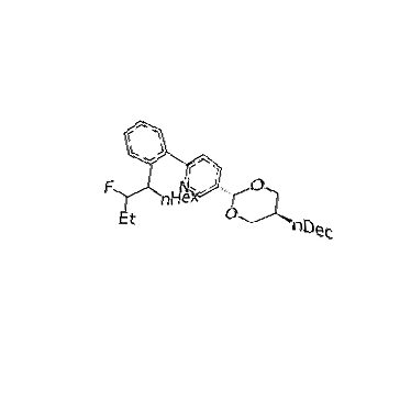 CCCCCCCCCC[C@H]1CO[C@H](c2ccc(-c3ccccc3C(CCCCCC)C(F)CC)nc2)OC1